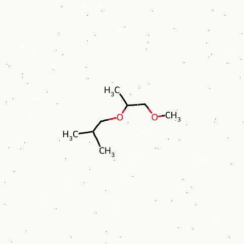 COCC(C)OCC(C)C